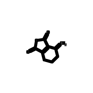 C=C1CCCC2=C1C(=O)OC2=O